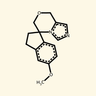 COc1ccc2c(c1)CCC21COCc2cncn21